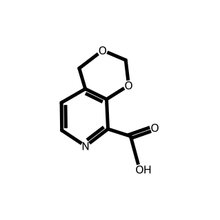 O=C(O)c1nccc2c1OCOC2